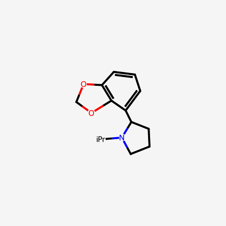 CC(C)N1CCCC1c1cccc2c1OCO2